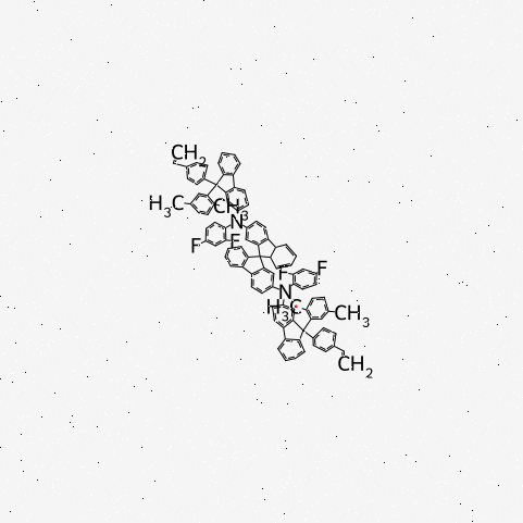 C=Cc1ccc(C2(c3cc(C)ccc3C)c3ccccc3-c3ccc(N(c4ccc5c(c4)C4(c6ccccc6-5)c5cc(N(c6ccc7c(c6)C(c6ccc(C=C)cc6)(c6cc(C)ccc6C)c6ccccc6-7)c6ccc(F)cc6F)ccc5C5C=CC=CC54)c4ccc(F)cc4F)cc32)cc1